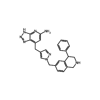 Nc1cc(Cc2cnn(Cc3ccc4c(c3)C(c3ccccc3)CNC4)c2)c2nn[nH]c2n1